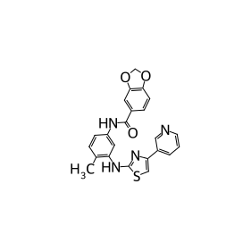 Cc1ccc(NC(=O)c2ccc3c(c2)OCO3)cc1Nc1nc(-c2cccnc2)cs1